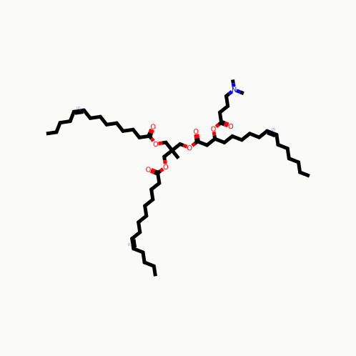 CCCC/C=C\CCCCCCCC(=O)OCC(C)(COC(=O)CCCCCCC/C=C\CCCC)COC(=O)CC(CCCCC/C=C\CCCCCC)OC(=O)CCCN(C)C